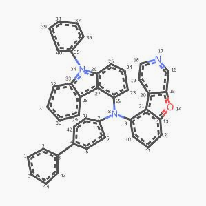 c1ccc(-c2ccc(N(c3cccc4oc5cnccc5c34)c3cccc4c3c3ccccc3n4-c3ccccc3)cc2)cc1